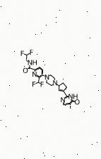 Cc1cnc(C2=CC(N3CCN(c4ccc(C(=O)NCC(F)F)nc4C(F)F)CC3)CC2)[nH]c1=O